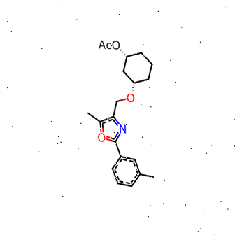 CC(=O)O[C@@H]1CCC[C@H](OCc2nc(-c3cccc(C)c3)oc2C)C1